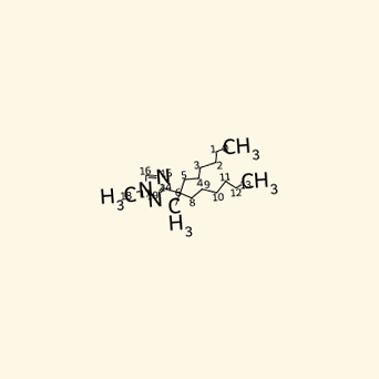 CCCCCCC(C)(CCCCCC)c1ncn(C)n1